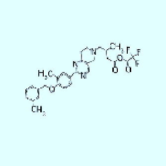 Cc1cccc(COc2ccc(-c3ncc4c(n3)CCN(CC(C)CC(=O)OC(=O)C(F)(F)F)C4)cc2C)c1